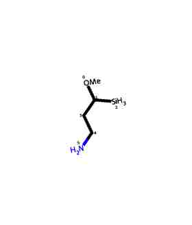 COC([SiH3])CCN